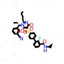 CCCCc1nc(=O)c(S(=O)(=O)c2ccc(-c3cccc(C(=O)NC4CC4)c3F)cc2)c(O)n1[C@@H](CC)c1cccc(C#N)c1